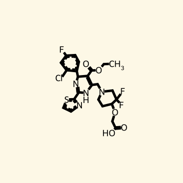 CCOC(=O)C1=C(CN2CCC(OCC(=O)O)C(F)(F)C2)NC(c2nccs2)=NC1c1ccc(F)cc1Cl